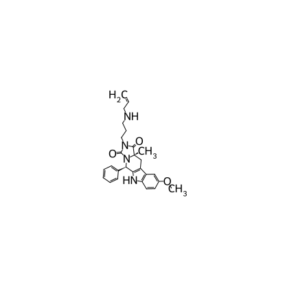 C=CCNCCCN1C(=O)N2[C@H](c3ccccc3)c3[nH]c4ccc(OC)cc4c3C[C@@]2(C)C1=O